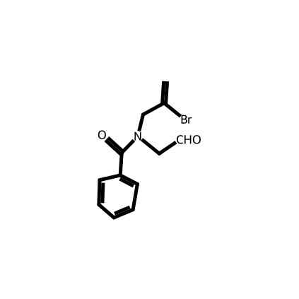 C=C(Br)CN(CC=O)C(=O)c1ccccc1